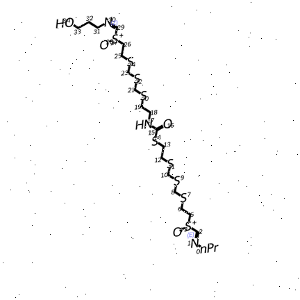 CCC/N=C/[S+]([O-])CCSCSCSCCSC(=O)NCCSCSCSCC[S+]([O-])/C=N\CCCO